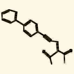 CC(=O)C(=CC#Cc1ccc(-c2ccccc2)cc1)C(C)=O